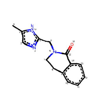 Cc1cnc(CN2CCc3ccccc3C2=O)[nH]1